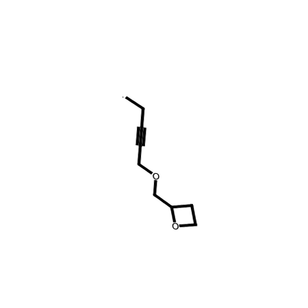 [CH2]CC#CCOCC1CCO1